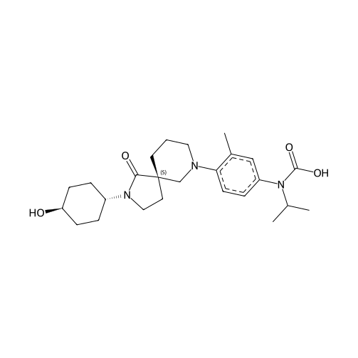 Cc1cc(N(C(=O)O)C(C)C)ccc1N1CCC[C@]2(CCN([C@H]3CC[C@H](O)CC3)C2=O)C1